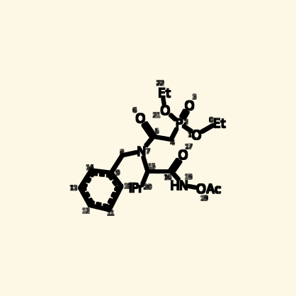 CCOP(=O)(CC(=O)N(Cc1ccccc1)C(C(=O)NOC(C)=O)C(C)C)OCC